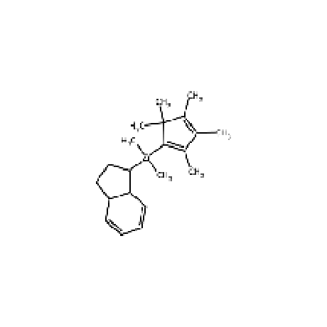 CC1=C(C)C(C)(C)[C]([Zr]([CH3])([CH3])[CH]2CCC3C=CC=CC32)=C1C